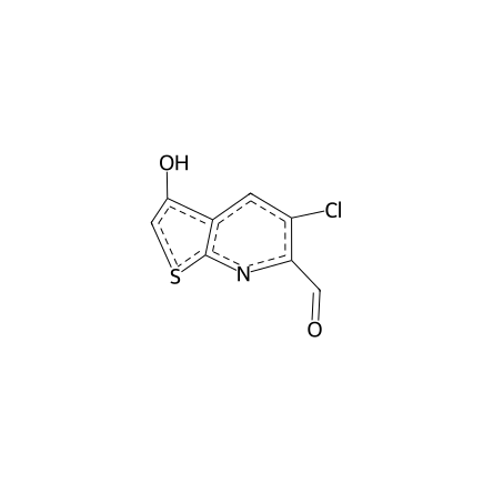 O=Cc1nc2scc(O)c2cc1Cl